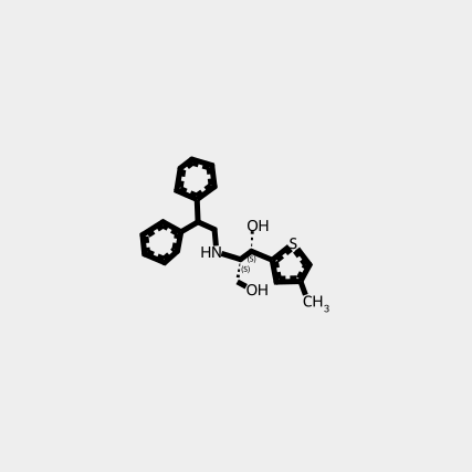 Cc1csc([C@@H](O)[C@H](CO)NCC(c2ccccc2)c2ccccc2)c1